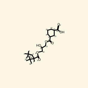 CC(C)(C)CC(C)(C(=O)OCC(O)COC(=O)C1CCCC(C(=O)O)C1)C(C)(C)C